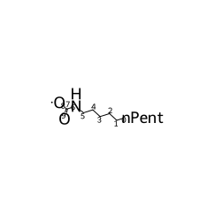 CCCCCCCCCCNC([O])=O